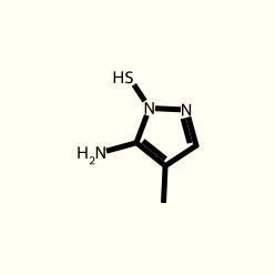 Cc1cnn(S)c1N